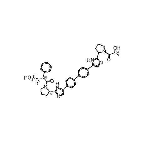 C[C@H](O)C(=O)N1CCCC1c1ncc(-c2ccc(-c3ccc(-c4cnc([C@@H]5CCCN5C(=O)[C@@H](c5ccccc5)N(C)C(=O)O)[nH]4)cc3)cc2)[nH]1